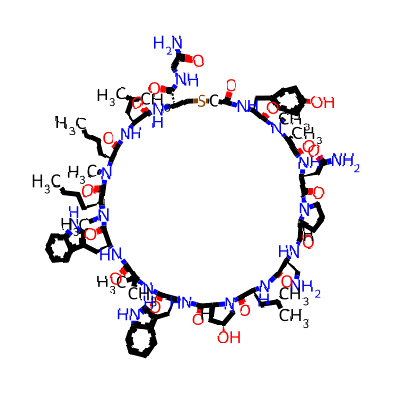 CCCC[C@H]1C(=O)N(C)[C@@H](CCCC)C(=O)N[C@@H](CC(C)C)C(=O)N[C@H](C(=O)NCC(N)=O)CSCC(=O)N[C@@H](Cc2ccc(O)cc2)C(=O)N(C)[C@@H](C)C(=O)N[C@@H](CC(N)=O)C(=O)N2CCC[C@H]2C(=O)N[C@@H](CN)C(=O)N[C@@H](CC(C)C)C(=O)N2C[C@H](O)C[C@H]2C(=O)N[C@@H](Cc2c[nH]c3ccccc23)C(=O)NC(C)(C)C(=O)N[C@@H](Cc2c[nH]c3ccccc23)C(=O)N1C